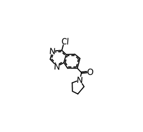 O=C(c1ccc2c(Cl)ncnc2c1)N1CCCC1